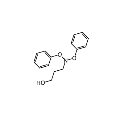 OCCCN(Oc1ccccc1)Oc1ccccc1